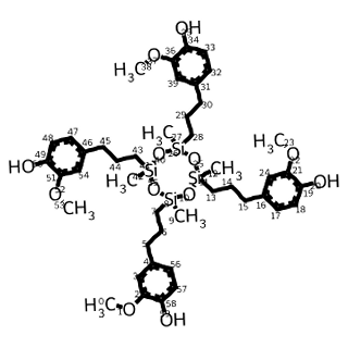 COc1cc(CCC[Si]2(C)O[Si](C)(CCCc3ccc(O)c(OC)c3)O[Si](C)(CCCc3ccc(O)c(OC)c3)O[Si](C)(CCCc3ccc(O)c(OC)c3)O2)ccc1O